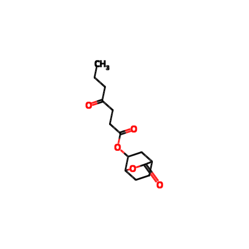 CCCC(=O)CCC(=O)OC1CC2CCC1OC2=O